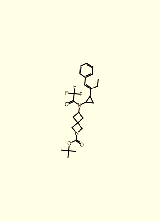 CCC(=Cc1ccccc1)C1CC1N(C(=O)C(F)(F)F)C1CC2(C1)CN(C(=O)OC(C)(C)C)C2